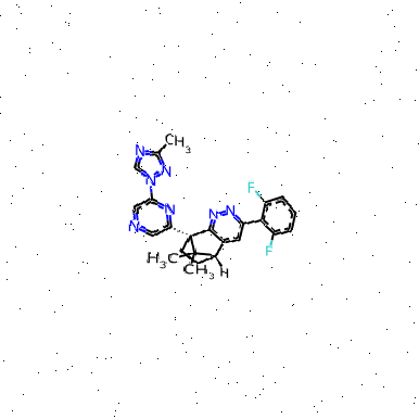 Cc1ncn(-c2cncc([C@]34CC[C@@H](c5cc(-c6c(F)cccc6F)nnc53)C4(C)C)n2)n1